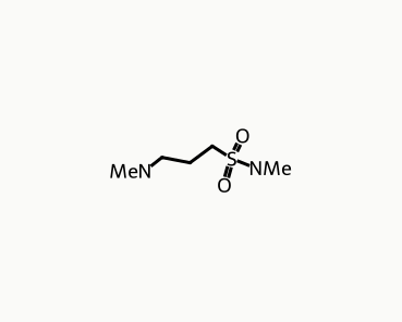 CNCCCS(=O)(=O)NC